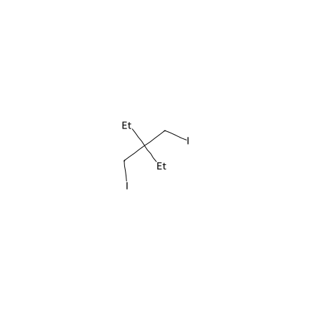 CCC(CC)(CI)CI